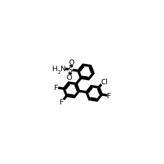 NS(=O)(=O)c1ccccc1-c1cc(F)c(F)cc1-c1ccc(F)c(Cl)c1